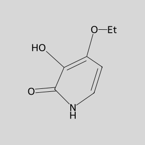 CCOc1cc[nH]c(=O)c1O